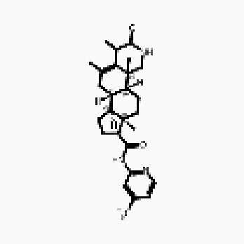 CC1=C2C(C)C(O)NC[C@]2(C)[C@@H]2CC[C@]3(C)C(C(=O)Nc4cc(C(F)(F)F)ccn4)CC[C@H]3[C@@H]2C1